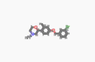 CCCN1CCOC(c2ccc(OCc3cccc(Br)c3)cc2C)C1